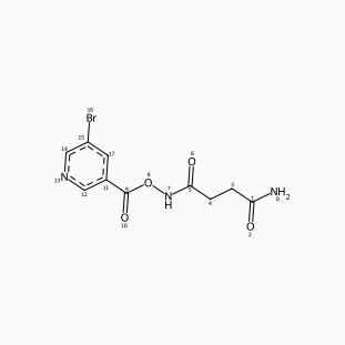 NC(=O)CCC(=O)NOC(=O)c1cncc(Br)c1